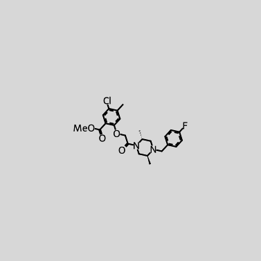 COC(=O)c1cc(Cl)c(C)cc1OCC(=O)N1C[C@H](C)N(Cc2ccc(F)cc2)C[C@H]1C